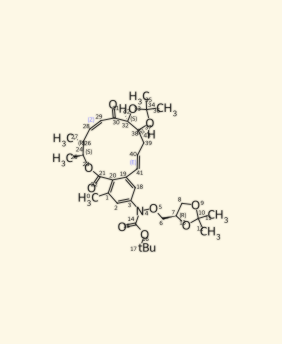 Cc1cc(N(OC[C@H]2COC(C)(C)O2)C(=O)OC(C)(C)C)cc2c1C(=O)O[C@@H](C)[C@H](C)/C=C\C(=O)[C@H]1OC(C)(C)O[C@H]1C/C=C/2